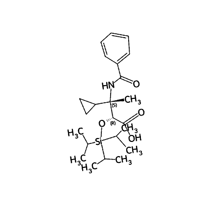 CC(C)[Si](O[C@@H](C(=O)O)[C@@](C)(NC(=O)c1ccccc1)C1CC1)(C(C)C)C(C)C